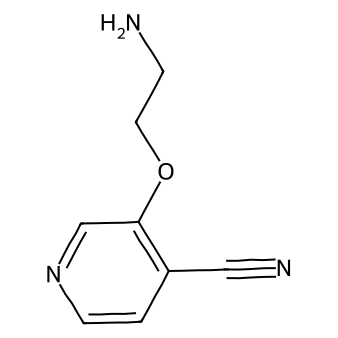 N#Cc1ccncc1OCCN